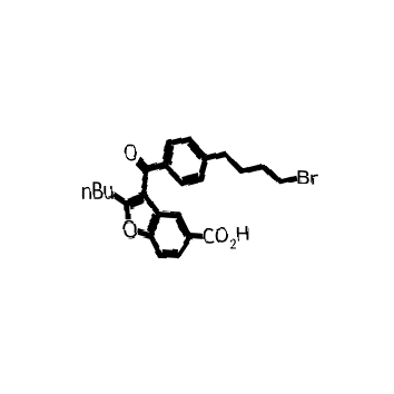 CCCCc1oc2ccc(C(=O)O)cc2c1C(=O)c1ccc(CCCCBr)cc1